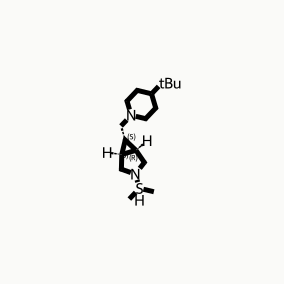 C[SH](C)N1C[C@@H]2[C@@H](CN3CCC(C(C)(C)C)CC3)[C@@H]2C1